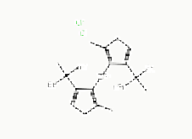 CCCC(C)(CC)C1=CCC(C)=[C]1[Zr+2][C]1=C(C)CC=C1C(C)(CC)CCC.[Cl-].[Cl-]